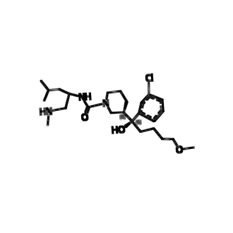 CNCC(CC(C)C)NC(=O)N1CCC[C@@H]([C@@](O)(CCCCOC)c2cccc(Cl)c2)C1